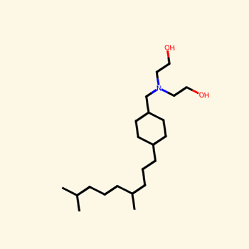 CC(C)CCCC(C)CCCC1CCC(CN(CCO)CCO)CC1